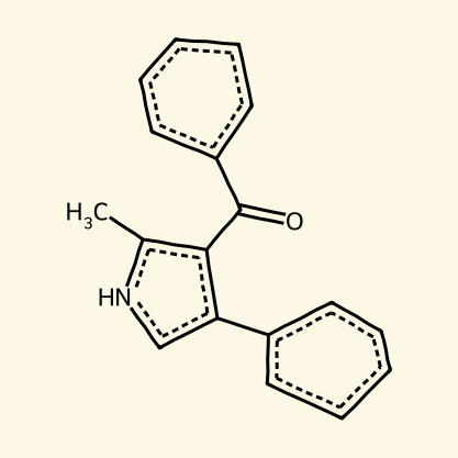 Cc1[nH]cc(-c2ccccc2)c1C(=O)c1ccccc1